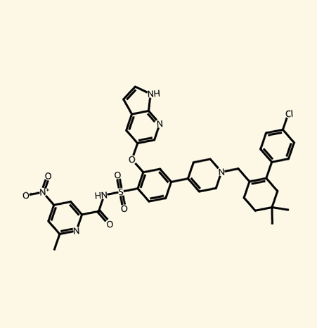 Cc1cc([N+](=O)[O-])cc(C(=O)NS(=O)(=O)c2ccc(C3=CCN(CC4=C(c5ccc(Cl)cc5)CC(C)(C)CC4)CC3)cc2Oc2cnc3[nH]ccc3c2)n1